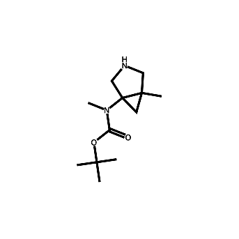 CN(C(=O)OC(C)(C)C)C12CNCC1(C)C2